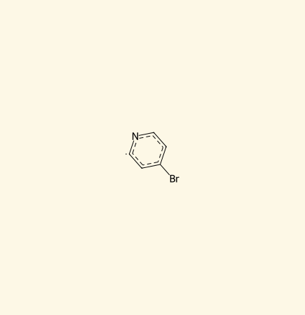 Brc1c[c]ncc1